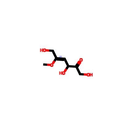 CO/C(=C\C(O)C(=O)CO)CO